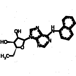 CC[C@H]1OC(n2cnc3c(Nc4cccc5ccccc45)ncnc32)[C@H](O)[C@@H]1O